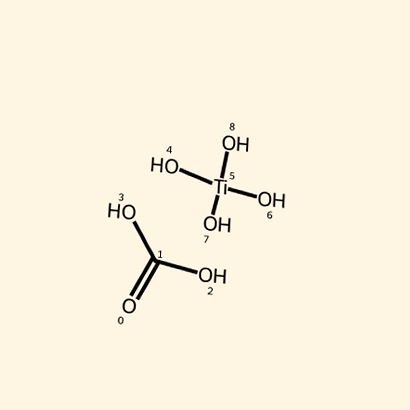 O=C(O)O.[OH][Ti]([OH])([OH])[OH]